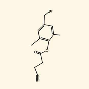 C#CCCC(=O)Oc1c(C)cc(CBr)cc1C